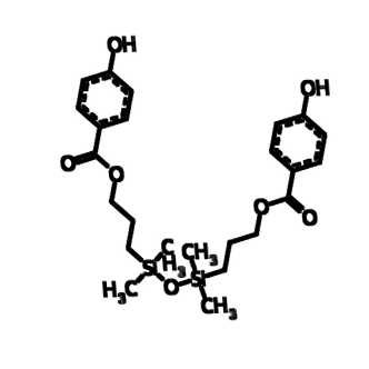 C[Si](C)(CCCOC(=O)c1ccc(O)cc1)O[Si](C)(C)CCCOC(=O)c1ccc(O)cc1